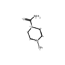 C[CH]CN1CCN(C(N)=O)CC1